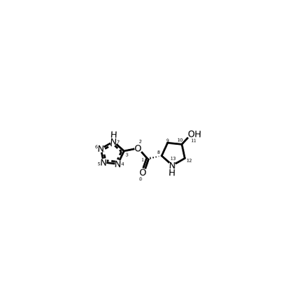 O=C(Oc1nnn[nH]1)[C@@H]1CC(O)CN1